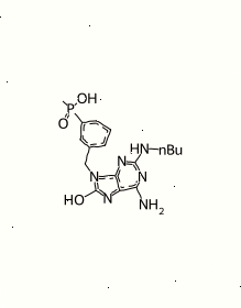 CCCCNc1nc(N)c2nc(O)n(Cc3cccc(P(C)(=O)O)c3)c2n1